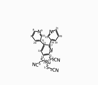 N#C[S][Ru]([S]C#N)[S]C#N.c1cncc(-c2cccnc2-c2cccnc2)c1